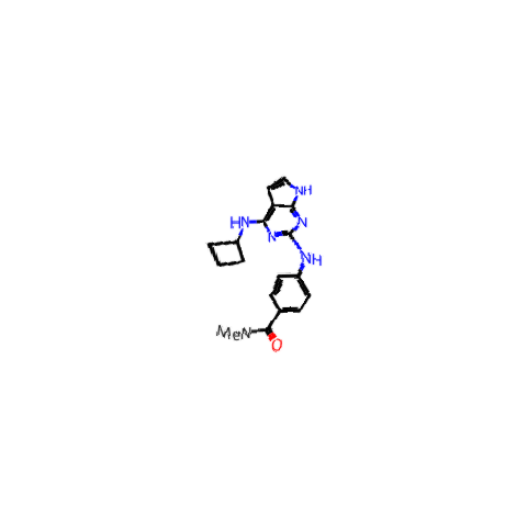 CNC(=O)c1ccc(Nc2nc(NC3CCC3)c3cc[nH]c3n2)cc1